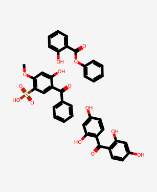 COc1cc(O)c(C(=O)c2ccccc2)cc1S(=O)(=O)O.O=C(Oc1ccccc1)c1ccccc1O.O=C(c1ccc(O)cc1O)c1ccc(O)cc1O